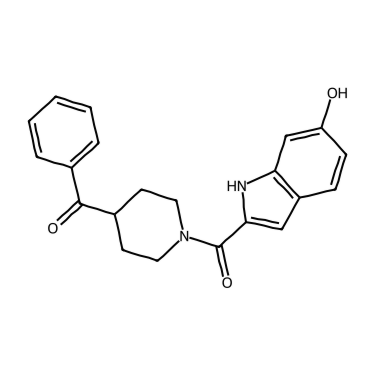 O=C(c1ccccc1)C1CCN(C(=O)c2cc3ccc(O)cc3[nH]2)CC1